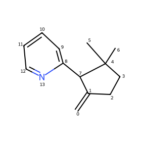 C=C1CCC(C)(C)C1c1ccccn1